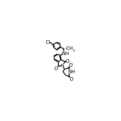 C[C@H](Nc1cccc2c1C(=O)N(C1CCC(=O)NC1=O)C2=O)c1ccc(Cl)cc1